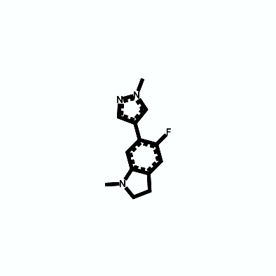 CN1CCc2cc(F)c(-c3cnn(C)c3)cc21